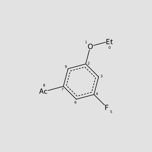 CCOc1cc(F)cc(C(C)=O)c1